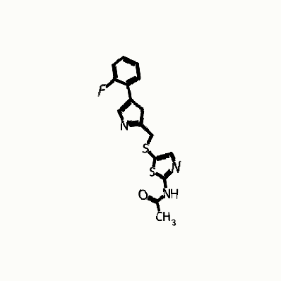 CC(=O)Nc1ncc(SCC2=NC=C(c3ccccc3F)C2)s1